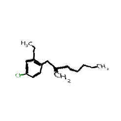 C=C(CCCCC)Cc1ccc(Cl)cc1CC